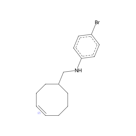 Brc1ccc(NCC2CC/C=C\CCC2)cc1